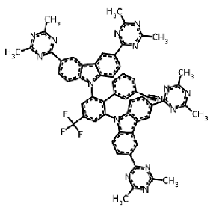 Cc1nc(C)nc(-c2ccc3c(c2)c2cc(-c4nc(C)nc(C)n4)ccc2n3-c2cc(C(F)(F)F)cc(-n3c4ccc(-c5nc(C)nc(C)n5)cc4c4cc(-c5nc(C)nc(C)n5)ccc43)c2-c2cccc(C#N)c2)n1